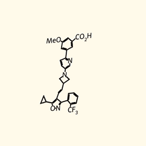 COc1cc(C(=O)O)cc(-c2ccc(N3CC(/C=C/c4c(-c5ccccc5C(F)(F)F)noc4C4CC4)C3)cn2)c1